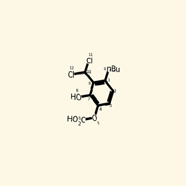 CCCCc1ccc(OC(=O)O)c(O)c1C(Cl)Cl